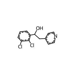 OC(Cc1ccncc1)c1cccc(Cl)c1Cl